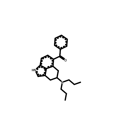 CCCN(CCC)C1Cc2c[nH]c3ccc(C(=O)c4ccccc4)c(c23)C1